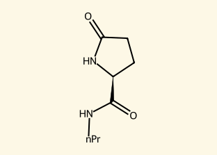 CCCNC(=O)[C@@H]1CCC(=O)N1